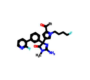 CCC(=O)c1cc(C2(c3cccc(-c4cccnc4F)c3)N=C(N)N(C)C2=O)cn1CCCCF